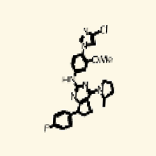 COc1cc(Nc2nc3c(c(N4CCCC4C)n2)CCC3c2ccc(F)cc2)ccc1-n1cnc(Cl)c1